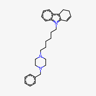 C1=Cc2c(c3ccccc3n2CCCCCCN2CCN(Cc3ccccc3)CC2)CC1